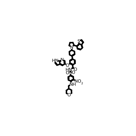 O=C(NS(=O)(=O)c1ccc(NCC2CCOCC2)c([N+](=O)[O-])c1)c1ccc(C2=CCC(N3CCCC3c3cccc4ccsc34)CC2)cc1Oc1cnc2[nH]ccc2c1